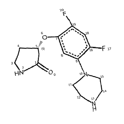 O=C1NCC[C@@H]1Oc1cc(N2CCNCC2)c(F)cc1F